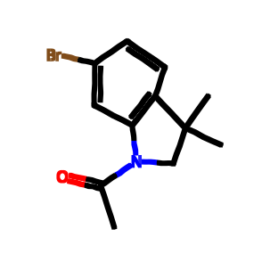 CC(=O)N1CC(C)(C)c2ccc(Br)cc21